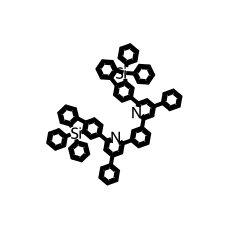 c1ccc(-c2cc(-c3cccc(-c4cc(-c5ccccc5)cc(-c5ccc6c(c5)[Si](c5ccccc5)(c5ccccc5)c5ccccc5-6)n4)c3)nc(-c3ccc4c(c3)[Si](c3ccccc3)(c3ccccc3)c3ccccc3-4)c2)cc1